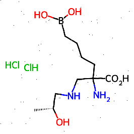 C[C@@H](O)CNCC(N)(CCCCB(O)O)C(=O)O.Cl.Cl